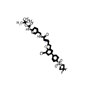 CC(C)(C)OC(=O)Nc1ccc(CNC(=O)/C=C/C2Cc3cc(-c4ccc(S(=O)(=O)N5CC(F)(F)C5)cc4)cc(Cl)c3O2)cn1